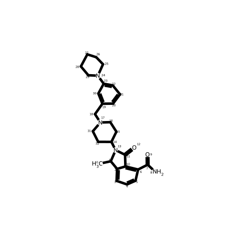 CC1c2cccc(C(N)=O)c2C(=O)N1C1CCN(Cc2cccc(N3CCCCC3)c2)CC1